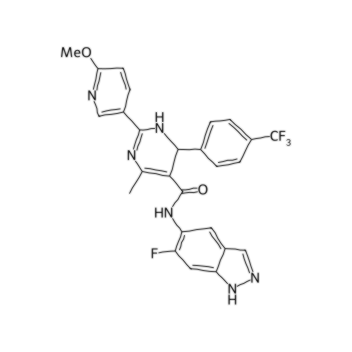 COc1ccc(C2=NC(C)=C(C(=O)Nc3cc4cn[nH]c4cc3F)C(c3ccc(C(F)(F)F)cc3)N2)cn1